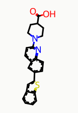 O=C(O)C1CCN(c2ccc3cc(-c4cc5ccccc5s4)ccc3n2)CC1